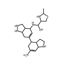 CC1NC(C(O)NC2C=C(C3CC(N)=CC4NCCC43)CC3NNCC23)CS1